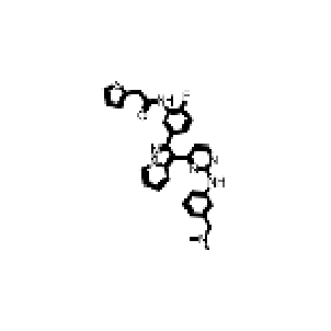 CN(C)Cc1cccc(Nc2nccc(-c3c(-c4ccc(F)c(NC(=O)Cc5cccs5)c4)nn4ccccc34)n2)c1